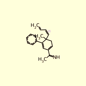 C=C/C=C\C1(C)CC=C(C(C)=N)C=C1c1ccccc1